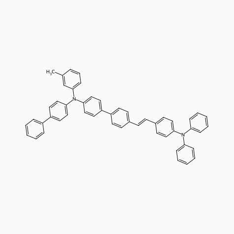 Cc1cccc(N(c2ccc(-c3ccccc3)cc2)c2ccc(-c3ccc(/C=C/c4ccc(N(c5ccccc5)c5ccccc5)cc4)cc3)cc2)c1